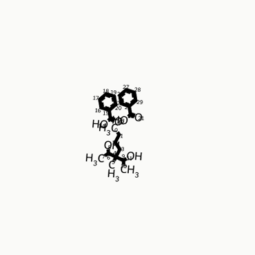 CCCCC(C)(C(C)O)C(C)O.O=C(O)c1ccccc1.O=C(O)c1ccccc1